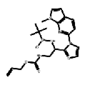 C=CCOC(=O)NCC(N[S+]([O-])C(C)(C)C)c1nccn1-c1ccc2ccn(C)c2n1